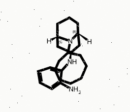 Nc1ccccc1N[C@@H]1C[C@H]2CCC[C@@H](C1)N2C1CCCCCCC1